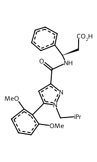 COc1cccc(OC)c1-c1cc(C(=O)N[C@H](CC(=O)O)c2ccccc2)nn1CC(C)C